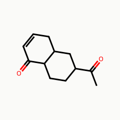 CC(=O)C1CCC2C(=O)C=CCC2C1